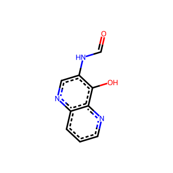 O=CNc1cnc2cccnc2c1O